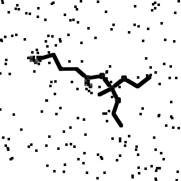 CCO[Si](C)(OCC)O[SiH2]CCCN